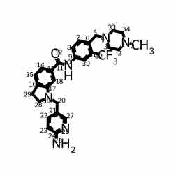 CN1CCN(Cc2ccc(NC(=O)c3ccc4c(c3)N(Cc3ccc(N)nc3)CC4)cc2C(F)(F)F)CC1